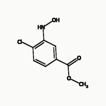 COC(=O)c1ccc(Cl)c(NO)c1